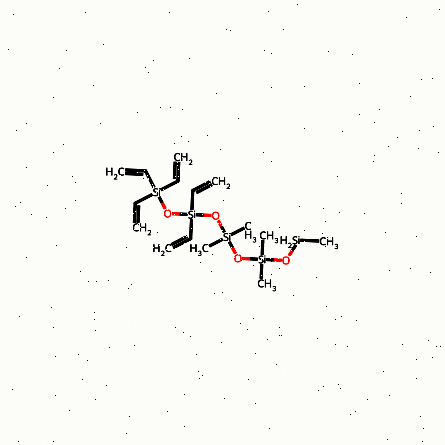 C=C[Si](C=C)(C=C)O[Si](C=C)(C=C)O[Si](C)(C)O[Si](C)(C)O[SiH2]C